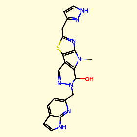 Cn1c2c(c3sc(Cc4cc[nH]n4)nc31)C=NN(Cc1ccc3cc[nH]c3n1)C2O